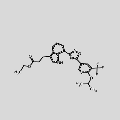 CCOC(=O)CCc1c[nH]c2c(-c3noc(-c4cnc(OC(C)C)c(C(F)(F)F)c4)n3)cccc12